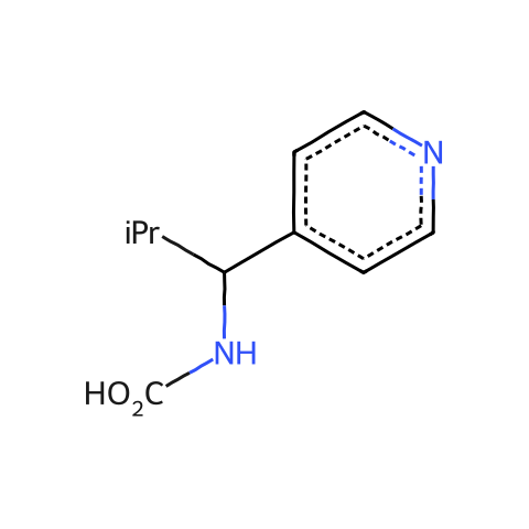 [CH2]C(C)C(NC(=O)O)c1ccncc1